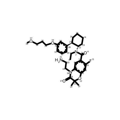 CCN(C(=O)c1cc2c(cc1F)OC(C)(C)C(=O)N2CCN)[C@H]1CCCC[C@@H]1c1cccc(OCCCOC)c1